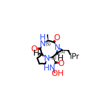 CC(C)C[C@H]1[C@@H]2[C@@H](C(=O)NO)N3CCC[C@@H]3C(=O)N[C@@H](C)C(=O)N21